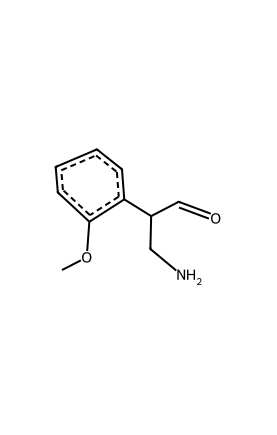 COc1ccccc1C(C=O)CN